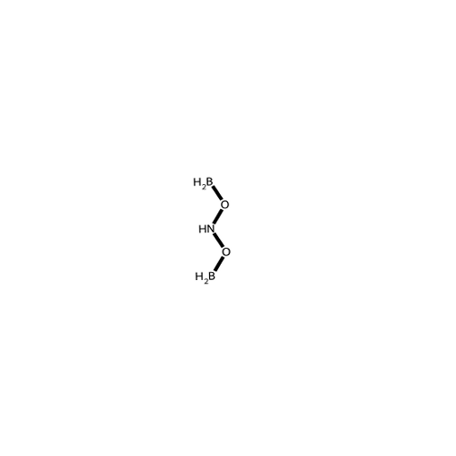 BONOB